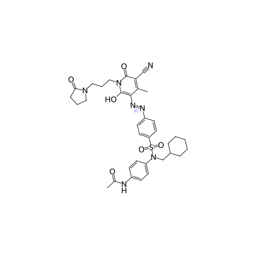 CC(=O)Nc1ccc(N(CC2CCCCC2)S(=O)(=O)c2ccc(/N=N/c3c(C)c(C#N)c(=O)n(CCCN4CCCC4=O)c3O)cc2)cc1